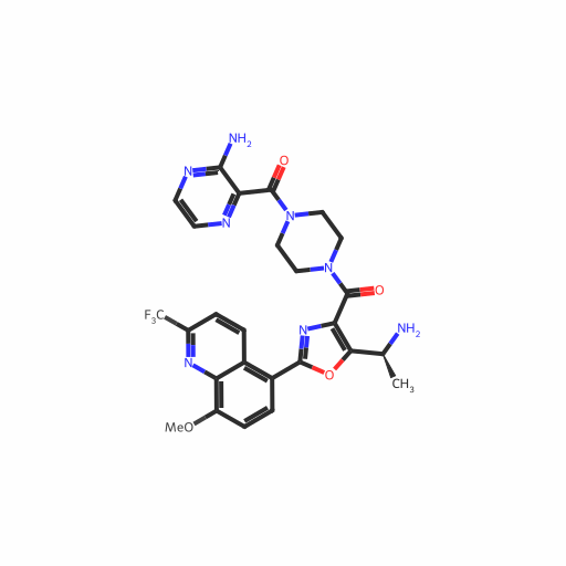 COc1ccc(-c2nc(C(=O)N3CCN(C(=O)c4nccnc4N)CC3)c([C@H](C)N)o2)c2ccc(C(F)(F)F)nc12